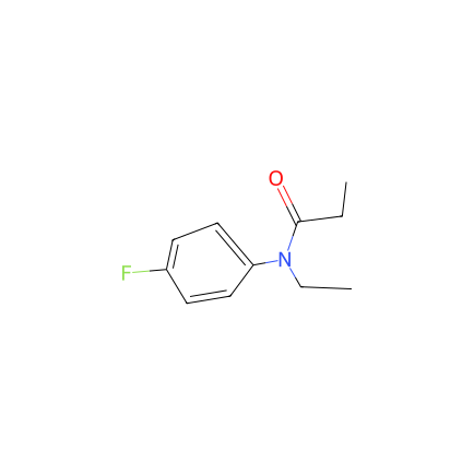 CCC(=O)N(CC)c1ccc(F)cc1